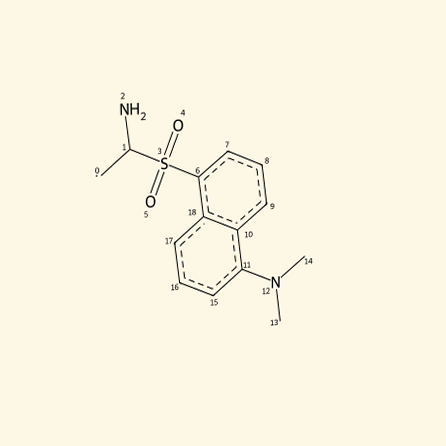 [CH2]C(N)S(=O)(=O)c1cccc2c(N(C)C)cccc12